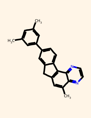 Cc1cc(C)cc(-c2ccc3c(c2)Cc2cc(C)c4nccnc4c2-3)c1